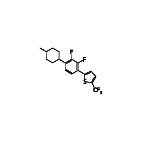 CC1CCC(c2ccc(-c3ccc(C(F)(F)F)s3)c(F)c2F)CC1